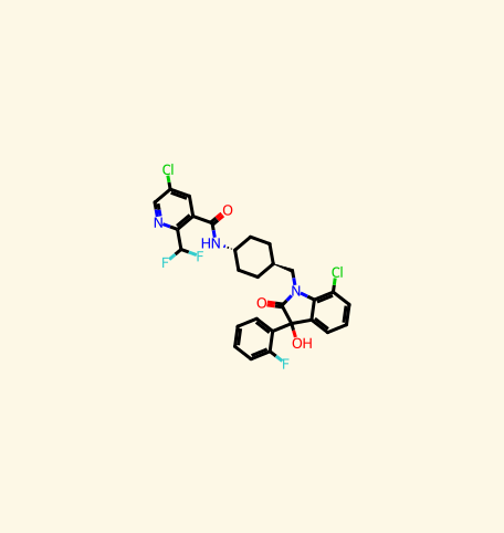 O=C(N[C@H]1CC[C@H](CN2C(=O)C(O)(c3ccccc3F)c3cccc(Cl)c32)CC1)c1cc(Cl)cnc1C(F)F